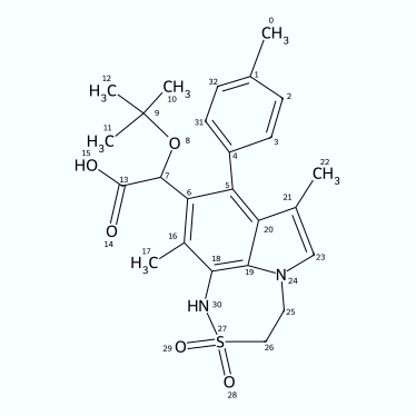 Cc1ccc(-c2c(C(OC(C)(C)C)C(=O)O)c(C)c3c4c2c(C)cn4CCS(=O)(=O)N3)cc1